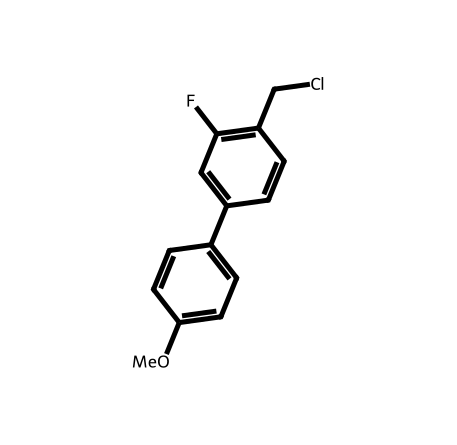 COc1ccc(-c2ccc(CCl)c(F)c2)cc1